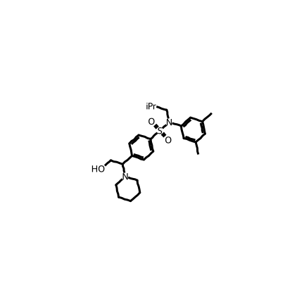 Cc1cc(C)cc(N(CC(C)C)S(=O)(=O)c2ccc(C(CO)N3CCCCC3)cc2)c1